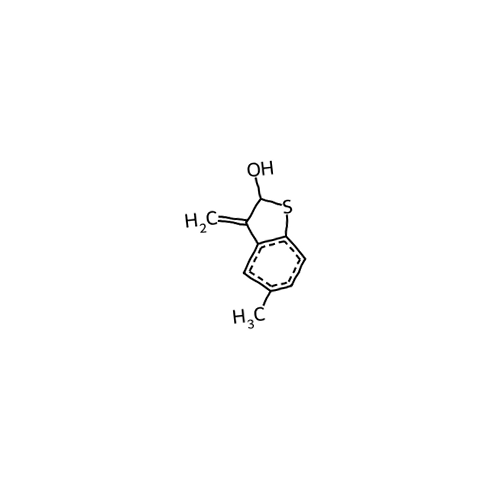 C=C1c2cc(C)ccc2SC1O